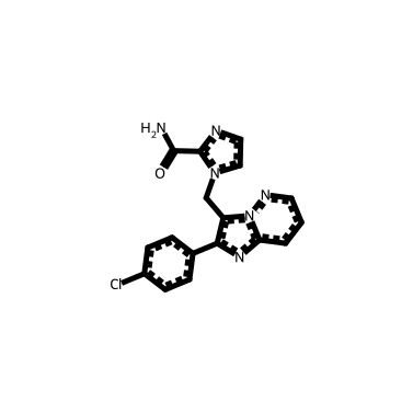 NC(=O)c1nccn1Cc1c(-c2ccc(Cl)cc2)nc2cccnn12